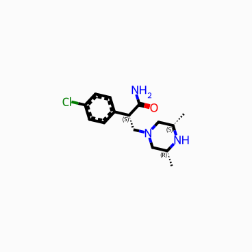 C[C@@H]1CN(C[C@@H](C(N)=O)c2ccc(Cl)cc2)C[C@H](C)N1